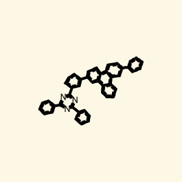 c1ccc(-c2ccc3c4ccc(-c5cccc(-c6nc(-c7ccccc7)nc(-c7ccccc7)n6)c5)cc4c4ccccc4c3c2)cc1